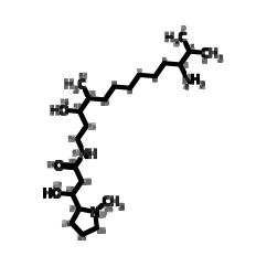 CC(C)C(N)CCCCCCC(C)C(O)CCNC(=O)CC(O)C1CCCN1C